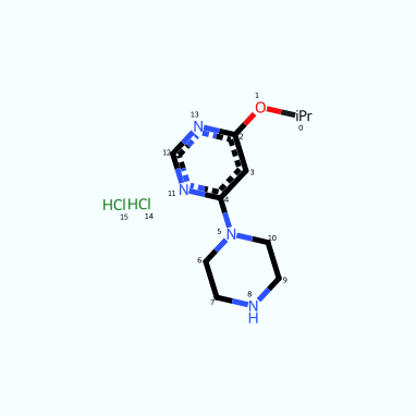 CC(C)Oc1cc(N2CCNCC2)ncn1.Cl.Cl